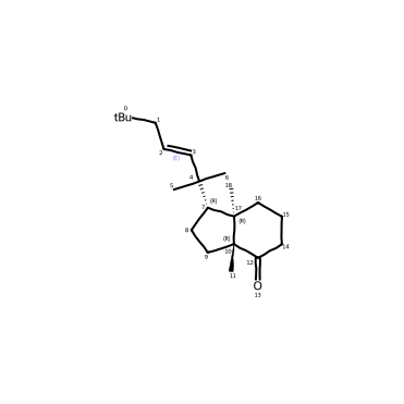 CC(C)(C)C/C=C/C(C)(C)[C@H]1CC[C@@]2(C)C(=O)CCC[C@]12C